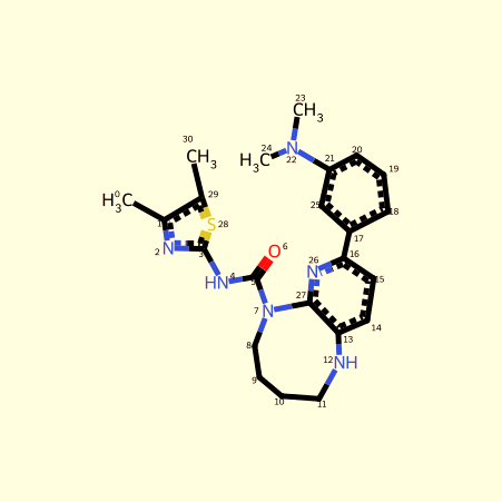 Cc1nc(NC(=O)N2CCCCNc3ccc(-c4cccc(N(C)C)c4)nc32)sc1C